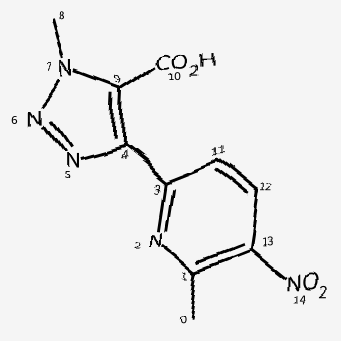 Cc1nc(-c2nnn(C)c2C(=O)O)ccc1[N+](=O)[O-]